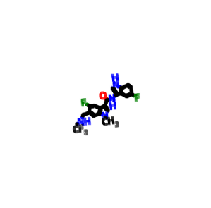 Cn1cc(C(=O)Nc2c[nH]c3ccc(F)cc23)c2cc(F)c(CNCC(F)(F)F)cc21